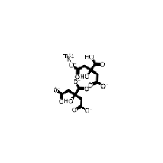 O=C([O-])CC(O)(CC(=O)[O-])C(=O)O.O=C([O-])CC(O)(CC(=O)[O-])C(=O)[O-].[K+].[Ti+4]